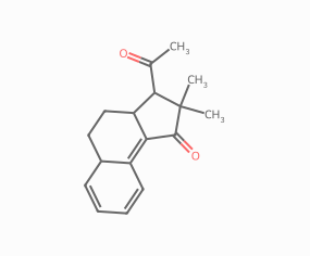 CC(=O)C1C2CCC3C=CC=CC3=C2C(=O)C1(C)C